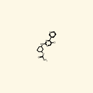 NC(=O)OC1CCCC(Nc2ncc(Cl)c(-c3cccnc3)n2)C1